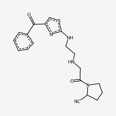 N#CC1CCCN1C(=O)CNCCNc1nc(C(=O)c2ccccc2)cs1